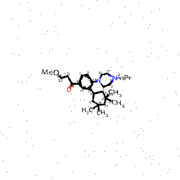 CCCN1CCN(c2ccc(C(=O)CCOC)cc2C2CC(C)(C)CC(C)(C)C2)CC1